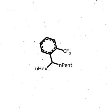 CCCCCCC(CCCCC)c1ccccc1C(F)(F)F